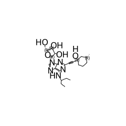 CCC(CC)Nc1nc(C#C[C@]2(O)CCC[C@@H](C)C2)nc2c1ncn2[C@@H]1O[C@H](CO)[C@H](O)C1O